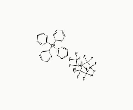 FC(F)(F)C(F)(F)[PH-](F)(F)(C(F)(F)C(F)(F)F)C(F)(F)C(F)(F)F.c1ccc([P+](c2ccccc2)(c2ccccc2)c2ccccc2)cc1